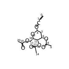 C=CCO[C@H]1C[C@@H](OC(C)=O)[C@@H](OC(C)=O)[C@@H](COC(C)=O)O1